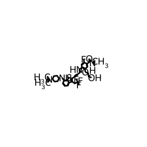 CNC(=O)c1cc(OCCO)c(NCC#Cc2sc3c(NC4CCC(N(C)C)CC4)cccc3c2CC(F)(F)F)cc1F